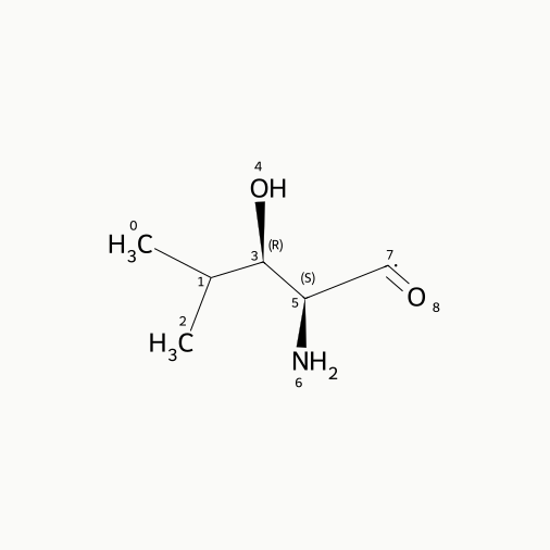 CC(C)[C@@H](O)[C@H](N)[C]=O